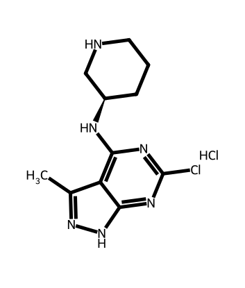 Cc1n[nH]c2nc(Cl)nc(N[C@@H]3CCCNC3)c12.Cl